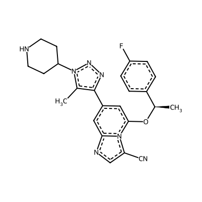 Cc1c(-c2cc(O[C@H](C)c3ccc(F)cc3)n3c(C#N)cnc3c2)nnn1C1CCNCC1